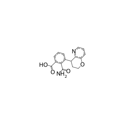 NC(=O)c1c(C(=O)O)cccc1C1CCOc2cccnc21